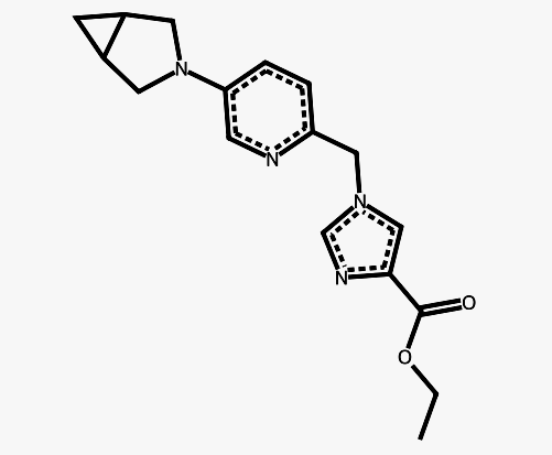 CCOC(=O)c1cn(Cc2ccc(N3CC4CC4C3)cn2)cn1